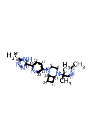 CC/N=C\C(C)(C)N1CCN(c2ccc(-c3nnc(C)[nH]3)nc2)C2CCC21